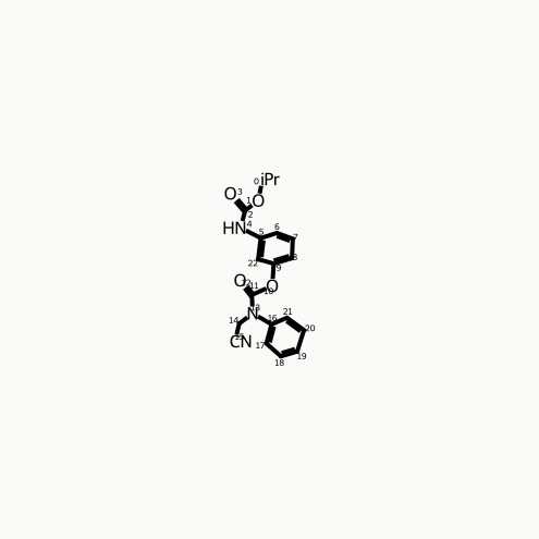 CC(C)OC(=O)Nc1cccc(OC(=O)N(CC#N)c2ccccc2)c1